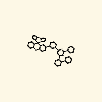 c1ccc(-c2nc(-c3cccc(-c4ccc5c(c4)C4(c6ccccc6O5)c5ccccc5-c5ccccc54)c3)cc(-c3ccccc3-c3ccccc3)n2)cc1